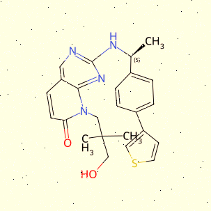 C[C@H](Nc1ncc2ccc(=O)n(CC(C)(C)CO)c2n1)c1ccc(-c2ccsc2)cc1